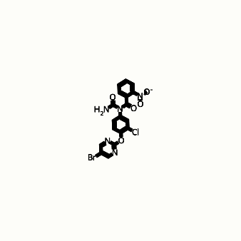 NC(=O)N(C(=O)c1ccccc1[N+](=O)[O-])c1ccc(Oc2ncc(Br)cn2)c(Cl)c1